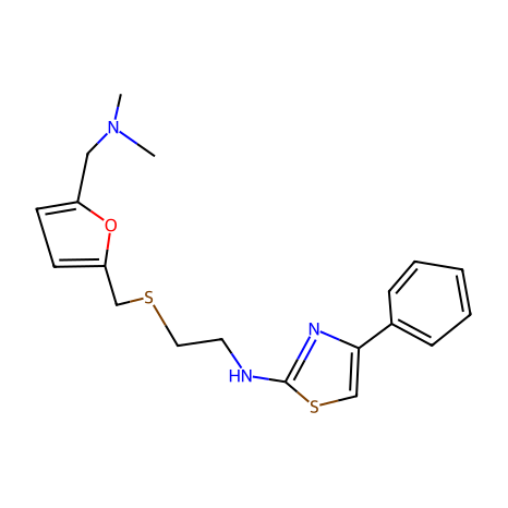 CN(C)Cc1ccc(CSCCNc2nc(-c3ccccc3)cs2)o1